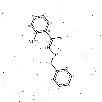 C/C(=N\OCc1ccccc1)c1ccccc1C#N